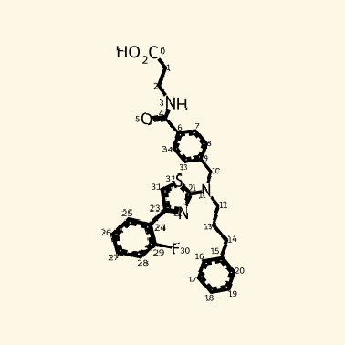 O=C(O)CCNC(=O)c1ccc(CN(CCCc2ccccc2)c2nc(-c3ccccc3F)cs2)cc1